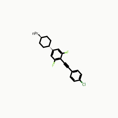 CCC[C@H]1CC[C@H](c2cc(F)c(C#Cc3ccc(Cl)cc3)c(F)c2)CC1